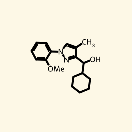 COc1ccccc1-n1cc(C)c(C(O)C2CCCCC2)n1